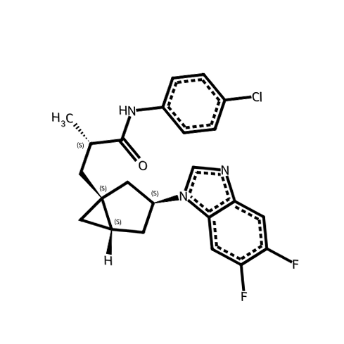 C[C@@H](C[C@@]12C[C@@H](n3cnc4cc(F)c(F)cc43)C[C@@H]1C2)C(=O)Nc1ccc(Cl)cc1